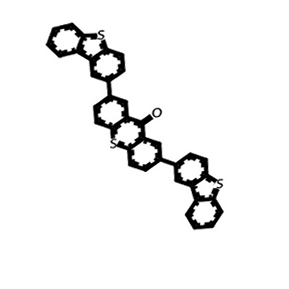 O=c1c2cc(-c3ccc4sc5ccccc5c4c3)ccc2sc2ccc(-c3ccc4sc5ccccc5c4c3)cc12